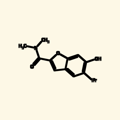 CC(C)c1cc2cc(C(=O)N(C)C)oc2cc1O